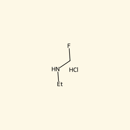 CCNCF.Cl